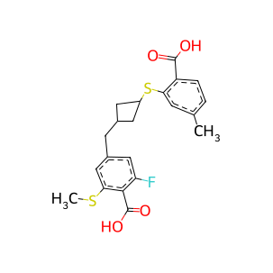 CSc1cc(CC2CC(Sc3cc(C)ccc3C(=O)O)C2)cc(F)c1C(=O)O